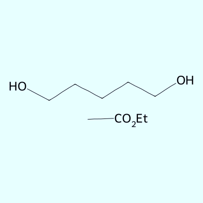 CCOC(C)=O.OCCCCCO